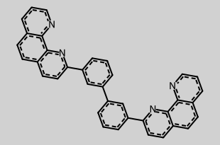 c1cc(-c2cccc(-c3ccc4ccc5cccnc5c4n3)c2)cc(-c2ccc3ccc4cccnc4c3n2)c1